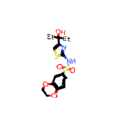 CCC(O)(CC)c1csc(NS(=O)(=O)c2ccc3c(c2)OCCO3)n1